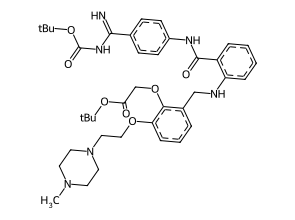 CN1CCN(CCOc2cccc(CNc3ccccc3C(=O)Nc3ccc(C(=N)NC(=O)OC(C)(C)C)cc3)c2OCC(=O)OC(C)(C)C)CC1